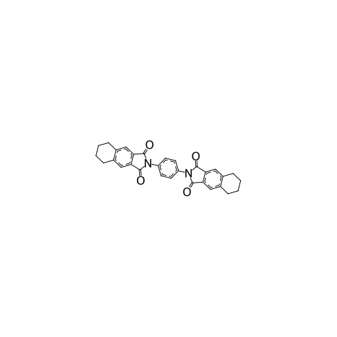 O=C1c2cc3c(cc2C(=O)N1c1ccc(N2C(=O)c4cc5c(cc4C2=O)CCCC5)cc1)CCCC3